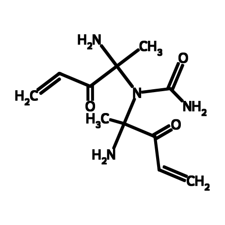 C=CC(=O)C(C)(N)N(C(N)=O)C(C)(N)C(=O)C=C